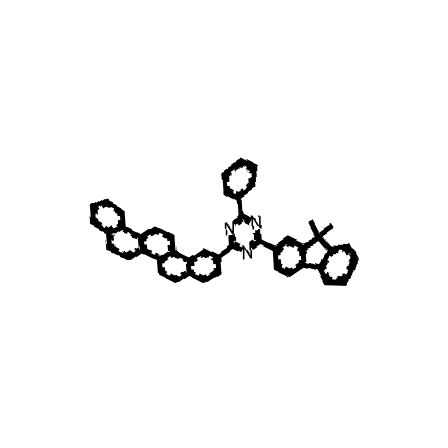 CC1(C)c2ccccc2-c2ccc(-c3nc(-c4ccccc4)nc(-c4ccc5ccc6c(ccc7c8ccccc8ccc76)c5c4)n3)cc21